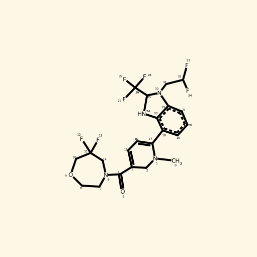 CN1CC(C(=O)N2CCOCC(F)(F)C2)=CC=C1c1cccc2c1NC(C(F)(F)F)N2CC(F)F